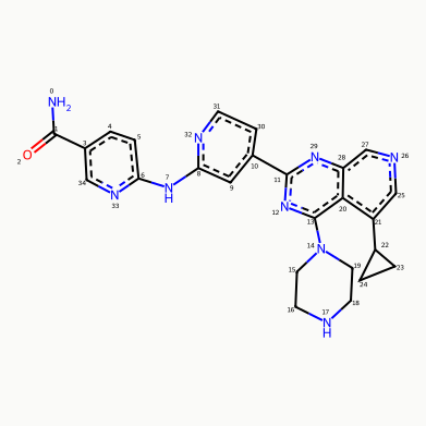 NC(=O)c1ccc(Nc2cc(-c3nc(N4CCNCC4)c4c(C5CC5)cncc4n3)ccn2)nc1